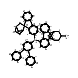 CCC1CC2CCCC(C1)C21c2ccccc2-c2c(N(c3ccc(-c4ccccc4)c(-c4ccccc4)c3)c3ccc4c(c3)C3(CC5CCC3C5)c3ccccc3-4)cccc21